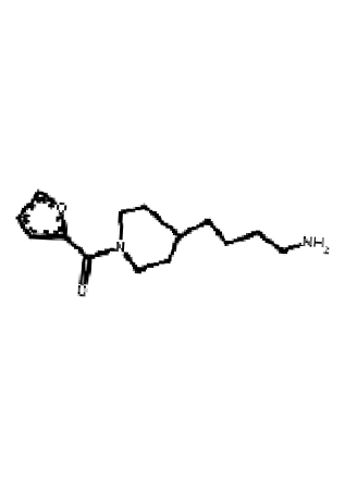 NCCCCC1CCN(C(=O)c2ccco2)CC1